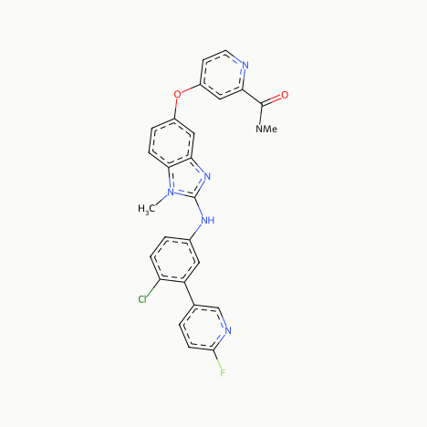 CNC(=O)c1cc(Oc2ccc3c(c2)nc(Nc2ccc(Cl)c(-c4ccc(F)nc4)c2)n3C)ccn1